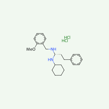 COc1ccccc1CN[C@H](CCc1ccccc1)NC1CCCCC1.Cl.Cl